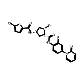 CC(C)N1C[C@@H](NC(=O)c2ccc(Cl)s2)C[C@H]1C(=O)Nc1ccc(-n2ccccc2=O)cc1F